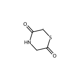 O=C1[CH]SC(=O)CN1